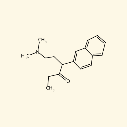 CCC(=O)C(CCN(C)C)c1ccc2ccccc2c1